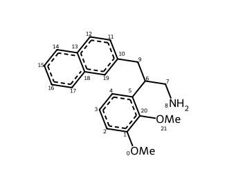 COc1cccc(C(CN)Cc2ccc3ccccc3c2)c1OC